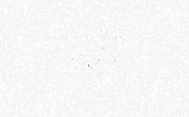 O=c1oc2ccncc2c2cc3c4ccccc4n(-c4ccccc4)c3cc12